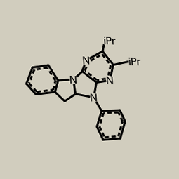 CC(C)c1nc2c(nc1C(C)C)N1c3ccccc3CC1N2c1ccccc1